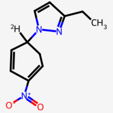 [2H]C1(n2ccc(CC)n2)C=CC([N+](=O)[O-])=CC1